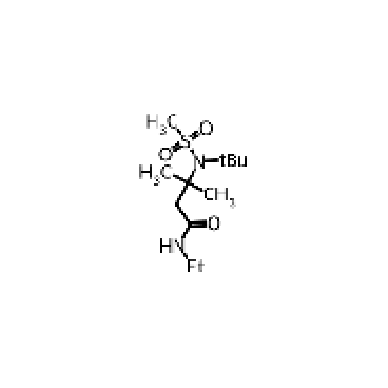 CCNC(=O)CC(C)(C)N(C(C)(C)C)S(C)(=O)=O